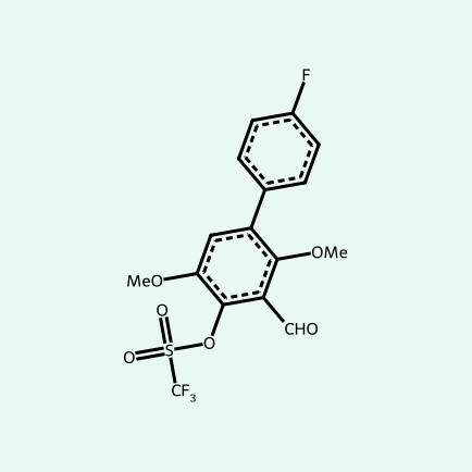 COc1cc(-c2ccc(F)cc2)c(OC)c(C=O)c1OS(=O)(=O)C(F)(F)F